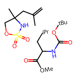 C=C(C)CC1(C)COS(=O)(=O)N1.COC(=O)C(CC(C)C)NC(=O)OC(C)(C)C